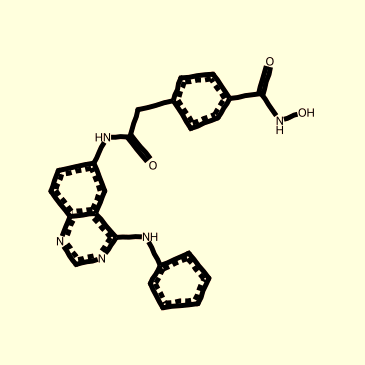 O=C(Cc1ccc(C(=O)NO)cc1)Nc1ccc2ncnc(Nc3ccccc3)c2c1